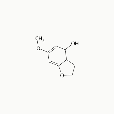 COC1=CC(O)C2CCOC2=C1